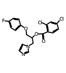 O=C(OC(COc1ccc(F)cc1)Cn1ccnc1)c1ccc(Cl)cc1Cl